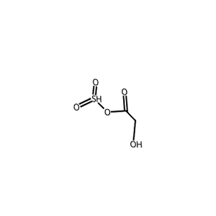 O=C(CO)O[SH](=O)=O